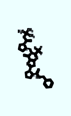 CC(C)(C)OC(=O)N1CCC[C@H]1Cn1c(C(F)(F)F)nc2sc(N3CCC[C@@H]3C(=O)NCc3ccccc3)nc2c1=O